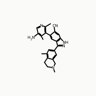 Cc1cc(-c2n[nH]c3cc(C#N)c(-c4c(C)ncc(N)c4C)cc23)cc2c1CCN(C)C2